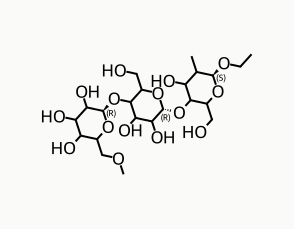 CCO[C@H]1OC(CO)C(O[C@H]2OC(CO)C(O[C@H]3OC(COC)C(O)C(O)C3O)C(O)C2O)C(O)C1C